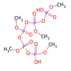 COP(=O)(O)OP(=O)(OC)OP(=O)(OC)OP(=O)(OC)OP(=O)(O)OC